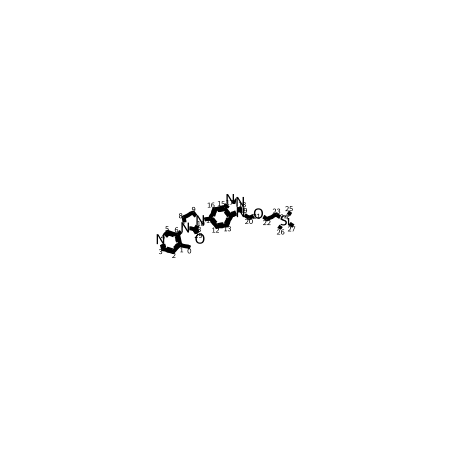 Cc1ccncc1N1CCN(c2ccc3c(c2)nnn3COCC[Si](C)(C)C)C1=O